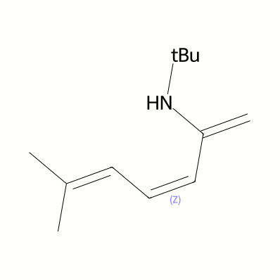 C=C(/C=C\C=C(C)C)NC(C)(C)C